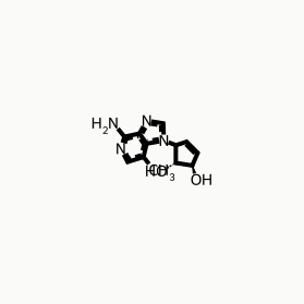 Cc1cnc(N)c2ncn(C3C=C[C@@H](O)[C@@H]3O)c12